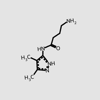 Cc1n[nH]c(NC(=O)CCCN)c1C